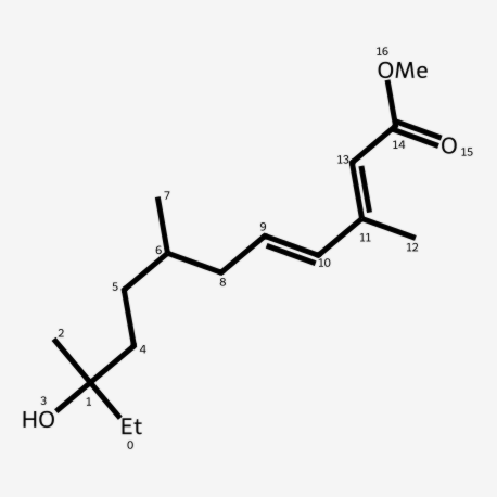 CCC(C)(O)CCC(C)CC=CC(C)=CC(=O)OC